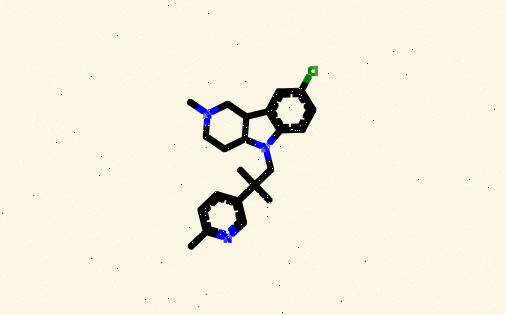 Cc1ccc(C(C)(C)CN2c3ccc(Cl)cc3C3CN(C)CCC32)cn1